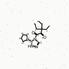 CCC(CC)(CC)C(=O)C(=O)N1C=NNN1N1CCCC1